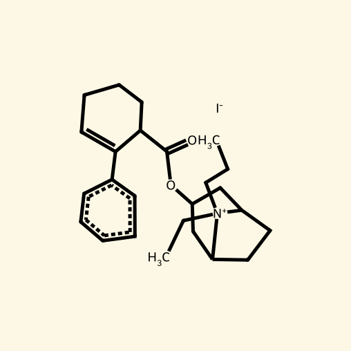 CCC[N+]1(CC)C2CCC1CC(OC(=O)C1CCCC=C1c1ccccc1)C2.[I-]